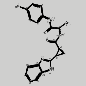 CCCc1ccc(NC(=O)C(C)NC(=O)C2CC2c2nc3ccccc3[nH]2)cc1